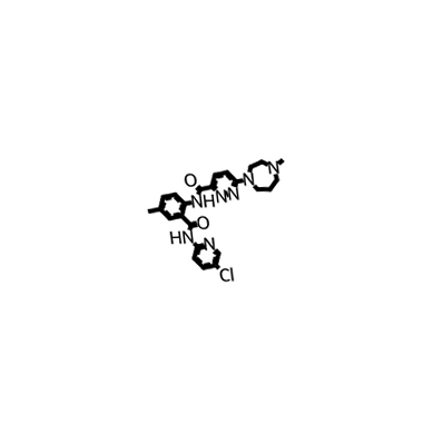 Cc1ccc(NC(=O)c2ccc(N3CCCN(C)CC3)nn2)c(C(=O)Nc2ccc(Cl)cn2)c1